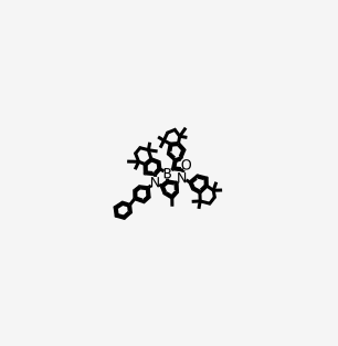 Cc1cc2c3c(c1)N(c1ccc4c(c1)C(C)(C)CCC4(C)C)c1oc4cc5c(cc4c1B3c1cc3c(cc1N2c1ccc(-c2ccccc2)cc1)C(C)(C)CCC3(C)C)C(C)(C)CCC5(C)C